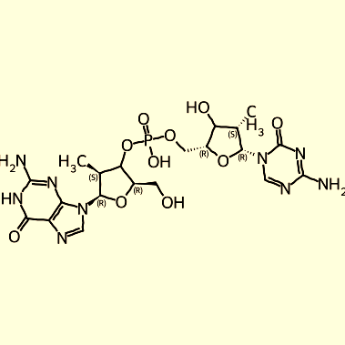 C[C@H]1C(O)[C@@H](COP(=O)(O)OC2[C@@H](CO)O[C@@H](n3cnc4c(=O)[nH]c(N)nc43)[C@H]2C)O[C@H]1n1cnc(N)nc1=O